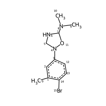 Cc1cc(N2CNC(N(C)C)O2)ccc1Br